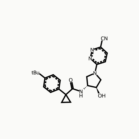 CC(C)(C)c1ccc(C2(C(=O)N[C@@H]3CN(c4ccc(C#N)nn4)C[C@H]3O)CC2)cc1